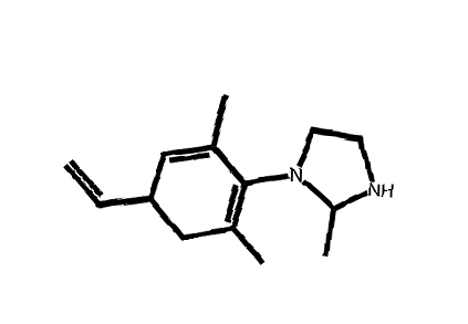 C=CC1C=C(C)C(N2CCNC2C)=C(C)C1